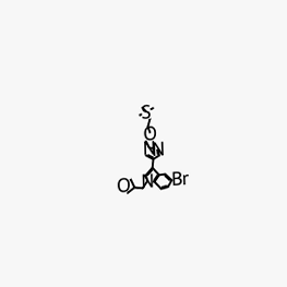 CS(C)(C)CCOCn1cc(-c2cn(CC3COC3)c3ccc(Br)cc23)cn1